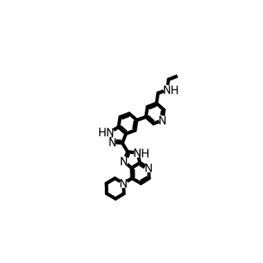 CCNCc1cncc(-c2ccc3[nH]nc(-c4nc5c(N6CCCCC6)ccnc5[nH]4)c3c2)c1